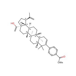 C=C(C)[C@@H]1CC[C@]2(C(=C)O)CC[C@]3(C)[C@H](CC[C@@H]4[C@@]5(C)CC=C(c6ccc(C(=O)OC)cc6)C(C)(C)[C@@H]5CC[C@]43C)[C@@H]12